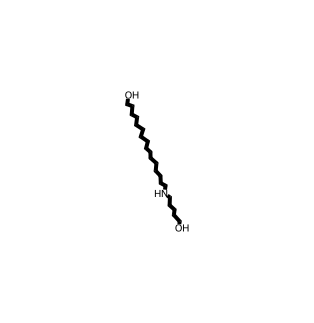 OCCCCCCCCCCCCCCCCNCCCCCO